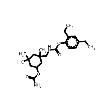 CCc1ccc(OC(=O)NCC2(C)CC(OC(N)=O)CC(C)(C)C2)c(CC)c1